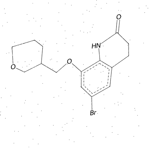 O=C1CCc2cc(Br)cc(OCC3CCCOC3)c2N1